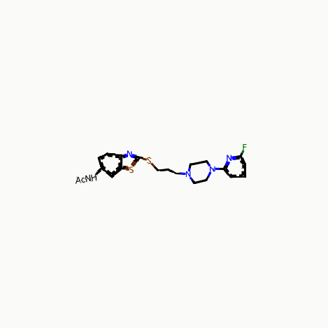 CC(=O)Nc1ccc2nc(SCCCN3CCN(c4cccc(F)n4)CC3)sc2c1